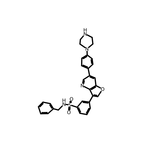 O=S(=O)(NCc1ccccc1)c1cccc(-c2coc3cc(-c4ccc(N5CCNCC5)cc4)cnc23)c1